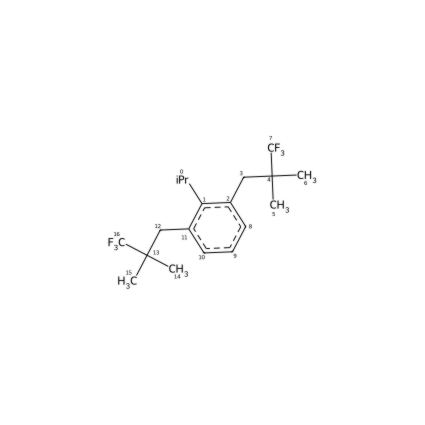 CC(C)c1c(CC(C)(C)C(F)(F)F)cccc1CC(C)(C)C(F)(F)F